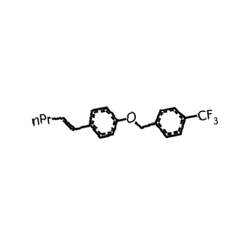 CCCC=Cc1ccc(OCc2ccc(C(F)(F)F)cc2)cc1